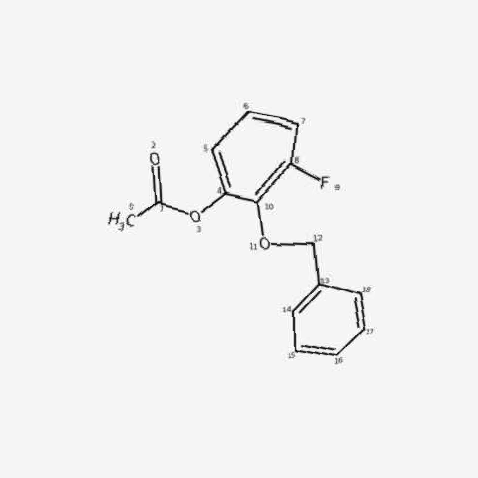 CC(=O)Oc1cccc(F)c1OCc1ccccc1